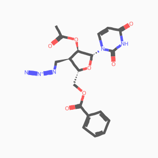 CC(=O)O[C@@H]1[C@H](CN=[N+]=[N-])[C@@H](COC(=O)c2ccccc2)O[C@H]1n1ccc(=O)[nH]c1=O